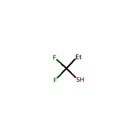 [CH2]CC(F)(F)S